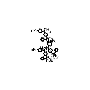 CCCC1CCC(C(C)C2CCC(C(C)C(CC)c3ccccc3)CC2)CC1.CCCCC(c1ccccc1)C(C)C1CCC(C(C)C2CCC(CCC)CC2)CC1.CCCCCCC(c1ccccc1)C(C)C1CCC(C(C)C2CCC(CCC)CC2)CC1